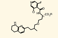 CC(CCc1ccc2c(n1)NCCC2)COCC[C@H](NC(=O)c1c(F)cncc1Cl)C(=O)O